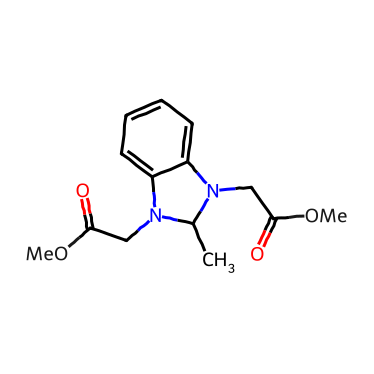 COC(=O)CN1c2ccccc2N(CC(=O)OC)C1C